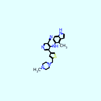 Cc1c(Nc2c(C#N)cncc2-c2csc(CN3CCN(C)CC3)c2)ccc2[nH]ccc12